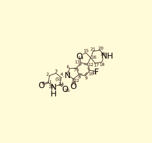 O=C1CC[C@H](N2Cc3c(cc(F)c4c3OCC43CCNCC3)C2=O)C(=O)N1